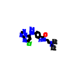 CCN(CC)CCNC(=O)c1ccc(Nc2cc(Cl)nc3ncnn23)cc1